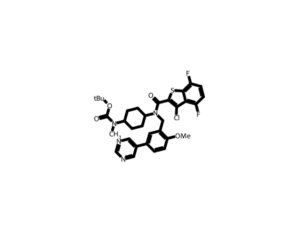 COc1ccc(-c2cncnc2)cc1CN(C(=O)c1sc2c(F)ccc(F)c2c1Cl)C1CCC(N(C)C(=O)OC(C)(C)C)CC1